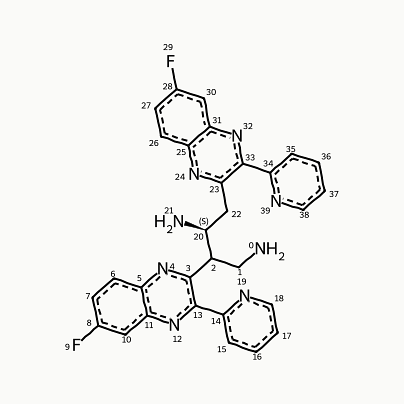 NCC(c1nc2ccc(F)cc2nc1-c1ccccn1)[C@@H](N)Cc1nc2ccc(F)cc2nc1-c1ccccn1